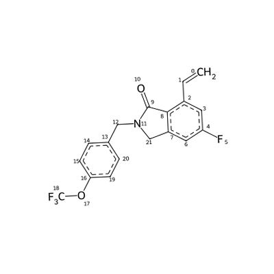 C=Cc1cc(F)cc2c1C(=O)N(Cc1ccc(OC(F)(F)F)cc1)C2